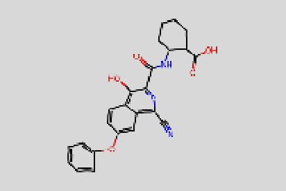 N#Cc1nc(C(=O)NC2CCCCC2C(=O)O)c(O)c2ccc(Oc3ccccc3)cc12